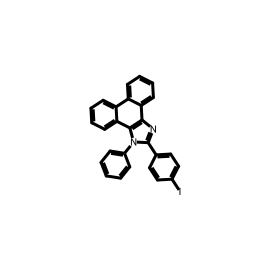 Ic1ccc(-c2nc3c4ccccc4c4ccccc4c3n2-c2ccccc2)cc1